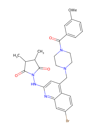 COc1cccc(C(=O)N2CCN(Cc3cc(NN4C(=O)C(C)C(C)C4=O)nc4cc(Br)ccc34)CC2)c1